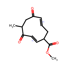 COC(=O)C1/C=C/C(=O)C(C)CC(=O)/C=C/C1